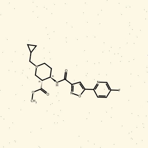 COC(=O)[C@@H]1CN(CC2CC2)CC[C@H]1NC(=O)c1cc(-c2ccc(F)cn2)on1